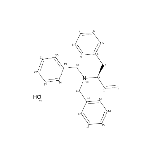 C=C[C@H](Cc1ccccc1)N(Cc1ccccc1)Cc1ccccc1.Cl